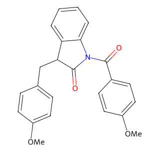 COc1ccc(CC2C(=O)N(C(=O)c3ccc(OC)cc3)c3ccccc32)cc1